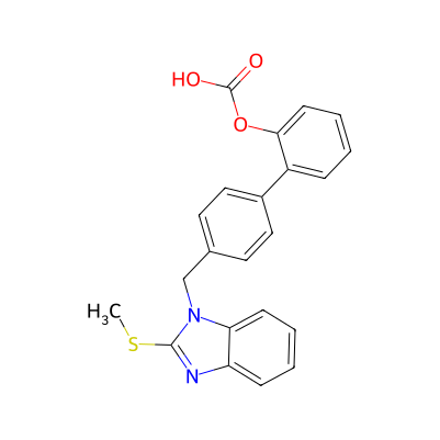 CSc1nc2ccccc2n1Cc1ccc(-c2ccccc2OC(=O)O)cc1